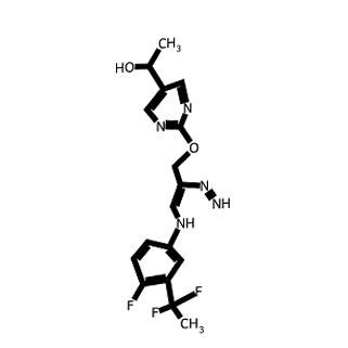 CC(O)c1cnc(OC/C(=C/Nc2ccc(F)c(C(C)(F)F)c2)N=N)nc1